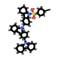 Cc1ccc(S(=O)(=O)n2c3ccccc3c3cc(-n4c5ccccc5c5cc(-n6c7ccccc7c7ccccc76)ccc54)ccc32)cc1